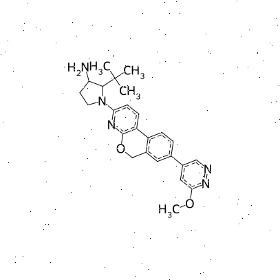 COc1cc(-c2ccc3c(c2)COc2nc(N4CCC(N)C4C(C)(C)C)ccc2-3)cnn1